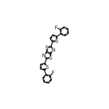 Fc1ccccc1-c1ccc(-c2nc3sc(-c4ccc(-c5ccccc5F)s4)nc3s2)s1